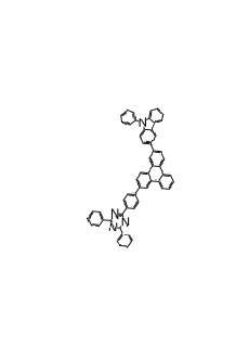 c1ccc(-c2nc(-c3ccccc3)nc(-c3ccc(-c4ccc5c(c4)c4ccccc4c4ccc(-c6ccc7c(c6)c6ccccc6n7-c6ccccc6)cc45)cc3)n2)cc1